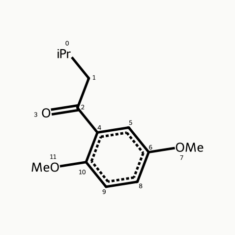 [CH2]C(C)CC(=O)c1cc(OC)ccc1OC